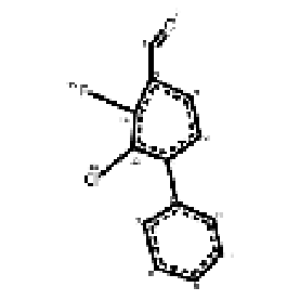 O=Cc1ccc(-c2ccccc2)c(Cl)c1F